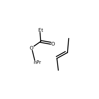 CC=CC.CCCOC(=O)CC